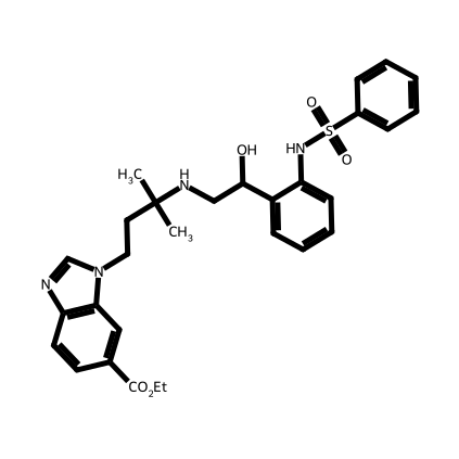 CCOC(=O)c1ccc2ncn(CCC(C)(C)NCC(O)c3ccccc3NS(=O)(=O)c3ccccc3)c2c1